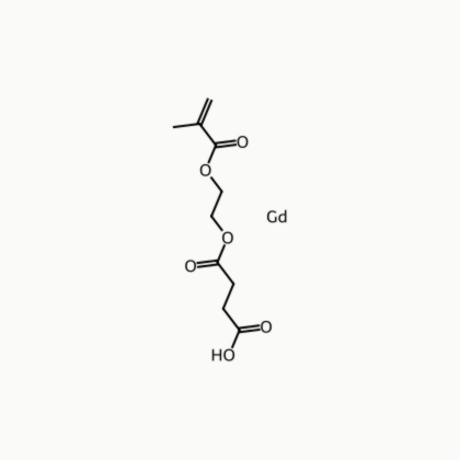 C=C(C)C(=O)OCCOC(=O)CCC(=O)O.[Gd]